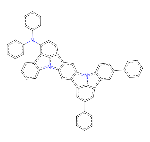 c1ccc(-c2ccc3c(c2)c2cc(-c4ccccc4)cc4c5cc6c(cc5n3c24)c2ccc(N(c3ccccc3)c3ccccc3)c3c4ccccc4n6c23)cc1